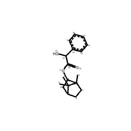 CC1(C)C2CCC1(C)C(OC(=O)C(O)c1ccccc1)C2